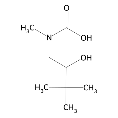 CN(CC(O)C(C)(C)C)C(=O)O